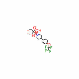 O=C(O)C1(S(=O)(=O)N2CCC(c3ccc(OC(F)(F)C(F)F)cc3)CC2)CCOCC1